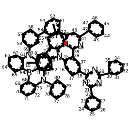 Cc1ccc2c(c1)c1cc(C)ccc1n2-c1ccc(-c2nc(-c3ccccc3)nc(-c3ccccc3)n2)cc1-c1nc(-c2ccccc2)cc(-c2cccc(-c3cccc(N4c5ccccc5B5c6ccccc6N(c6ccccc6)c6cccc4c65)c3)c2)n1